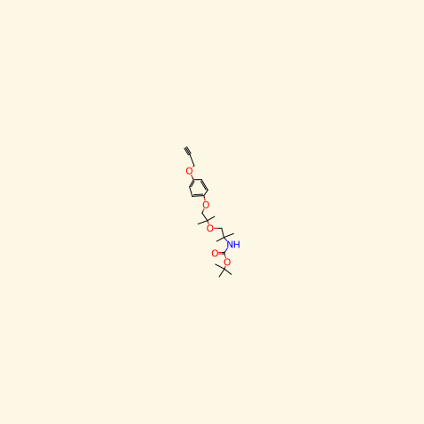 C#CCOc1ccc(OCC(C)(C)OCC(C)(C)NC(=O)OC(C)(C)C)cc1